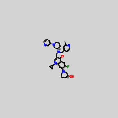 Cc1cc(CN(Cc2cn(C3CC3)c3cc(N4CCC[C@H](O)C4)c(F)cc3c2=O)[C@H]2CCCN(c3cccnc3)C2)ccn1